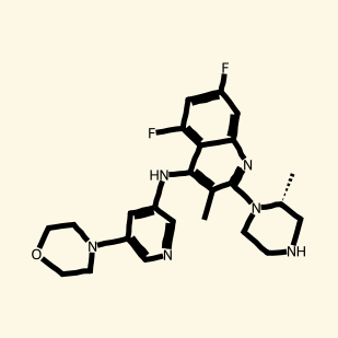 Cc1c(N2CCNC[C@H]2C)nc2cc(F)cc(F)c2c1Nc1cncc(N2CCOCC2)c1